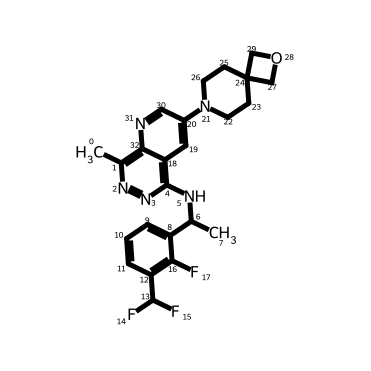 Cc1nnc(NC(C)c2cccc(C(F)F)c2F)c2cc(N3CCC4(CC3)COC4)cnc12